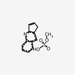 C1=Cc2nc3ccccc3cc2C1.COS(=O)(=O)O